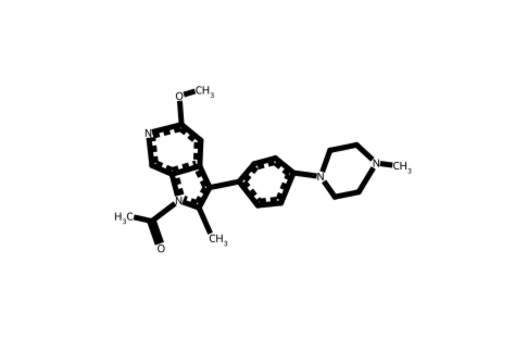 COc1cc2c(-c3ccc(N4CCN(C)CC4)cc3)c(C)n(C(C)=O)c2cn1